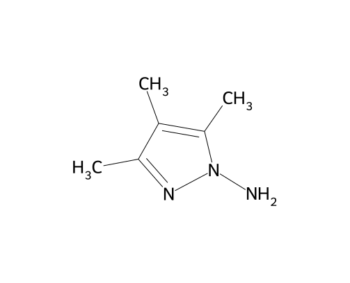 Cc1nn(N)c(C)c1C